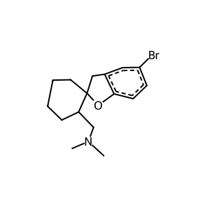 CN(C)CC1CCCCC12Cc1cc(Br)ccc1O2